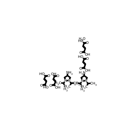 CC(C)N1CC(N)CN1C(C)C.CC(C)N1CC(N)CN1C(C)C.O.O=C(O)C=CC(=O)O.O=C(O)C=CC(=O)O.O=C(O)C=CC(=O)O.O=C(O)C=CC(=O)O